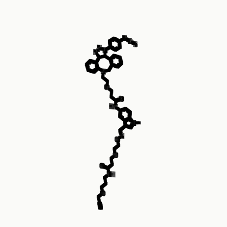 C#CCOCCCNC(=O)CCOCCO/N=C/c1cn(C)c2ccc(NC(=O)CCOCCN3Cc4ccccc4C4C(N=NN4c4ccc(N=C=S)cc4)c4ccccc43)cc12